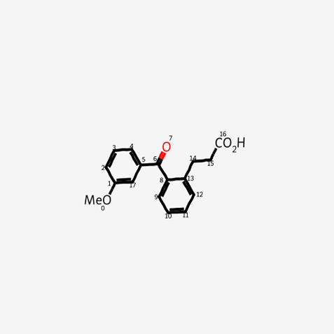 COc1cccc(C(=O)c2ccccc2CCC(=O)O)c1